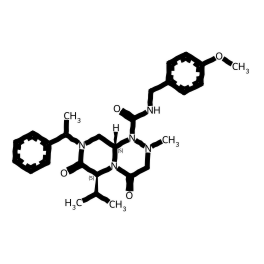 COc1ccc(CNC(=O)N2[C@H]3CN(C(C)c4ccccc4)C(=O)[C@H](C(C)C)N3C(=O)CN2C)cc1